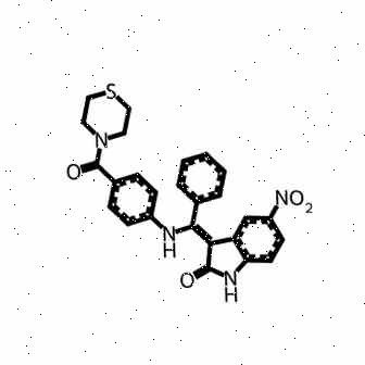 O=C1Nc2ccc([N+](=O)[O-])cc2C1=C(Nc1ccc(C(=O)N2CCSCC2)cc1)c1ccccc1